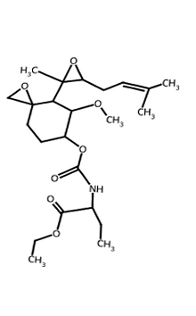 CCOC(=O)C(CC)NC(=O)OC1CCC2(CO2)C(C2(C)OC2CC=C(C)C)C1OC